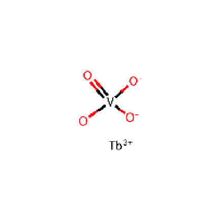 [O]=[V]([O-])([O-])[O-].[Tb+3]